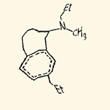 CCc1ccc2c(c1)C(N(C)CC)CC2